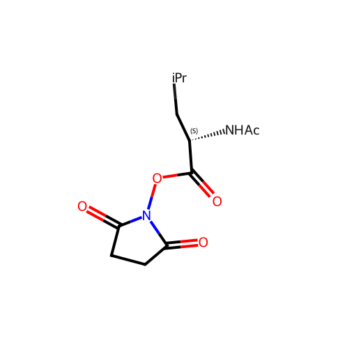 CC(=O)N[C@@H](CC(C)C)C(=O)ON1C(=O)CCC1=O